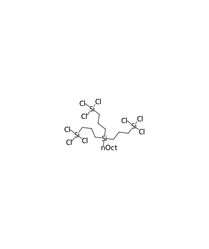 CCCCCCCC[Si](CCC[Si](Cl)(Cl)Cl)(CCC[Si](Cl)(Cl)Cl)CCC[Si](Cl)(Cl)Cl